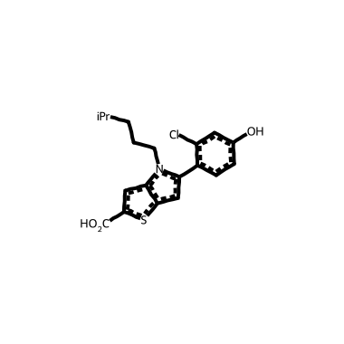 CC(C)CCCn1c(-c2ccc(O)cc2Cl)cc2sc(C(=O)O)cc21